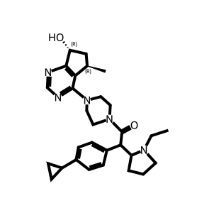 CCN1CCCC1C(C(=O)N1CCN(c2ncnc3c2[C@H](C)C[C@H]3O)CC1)c1ccc(C2CC2)cc1